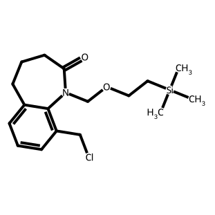 C[Si](C)(C)CCOCN1C(=O)CCCc2cccc(CCl)c21